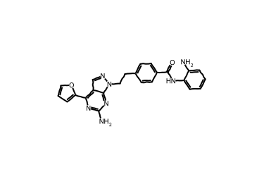 Nc1nc(-c2ccco2)c2cnn(CCc3ccc(C(=O)Nc4ccccc4N)cc3)c2n1